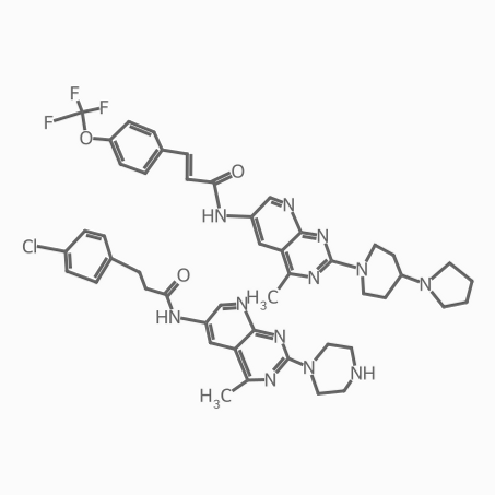 Cc1nc(N2CCC(N3CCCC3)CC2)nc2ncc(NC(=O)C=Cc3ccc(OC(F)(F)F)cc3)cc12.Cc1nc(N2CCNCC2)nc2ncc(NC(=O)CCc3ccc(Cl)cc3)cc12